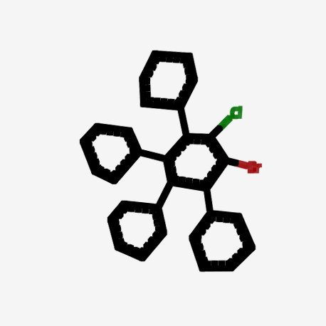 Clc1c(Br)c(-c2ccccc2)c(-c2ccccc2)c(-c2ccccc2)c1-c1ccccc1